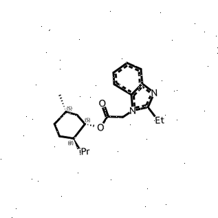 CCc1nc2ccccc2n1CC(=O)O[C@H]1C[C@@H](C)CC[C@@H]1C(C)C